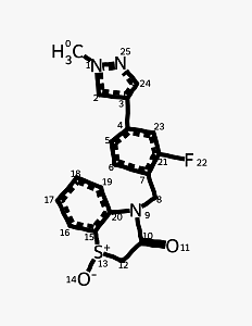 Cn1cc(-c2ccc(CN3C(=O)C[S+]([O-])c4ccccc43)c(F)c2)cn1